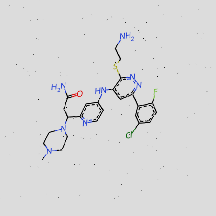 CN1CCN(C(CC(N)=O)c2cc(Nc3cc(-c4cc(Cl)ccc4F)nnc3SCCN)ccn2)CC1